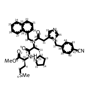 COC(=O)[C@H](CCSC)NC(=O)C(C[C@@H]1CCCN1)N(Cc1cccc2ccccc12)C(=O)Cc1cncn1Cc1ccc(C#N)cc1